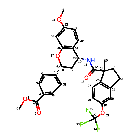 COC(=O)c1ccc([C@H]2C[C@@H](NC(=O)C3(C)CCc4cc(OC(F)(F)F)ccc43)c3ccc(OC)cc3O2)cc1